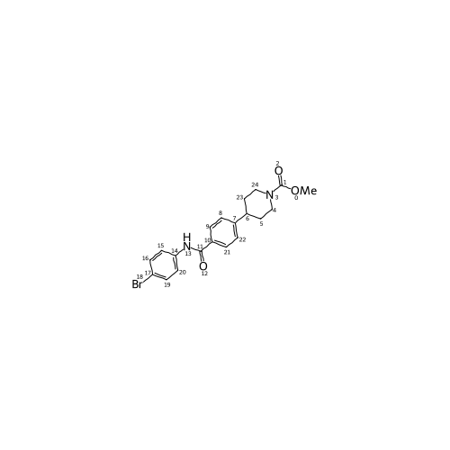 COC(=O)N1CCC(c2ccc(C(=O)Nc3ccc(Br)cc3)cc2)CC1